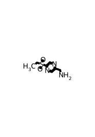 CCS(=O)(=O)c1cnc(CN)cn1